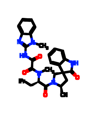 CC(C)C[C@@H](C(=O)N1C[C@]2(C[C@H]1C#N)C(=O)Nc1ccccc12)N(C)C(=O)C(=O)Nc1nc2ccccc2n1C